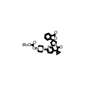 CC(C)COC(=O)ON1CCN(c2ccc(C3(C(=O)N4CCC5(C4)OC(=O)c4ccccc45)CC3)cn2)CC1